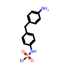 CCS(=O)(=O)Nc1ccc(Cc2ccc(N)cc2)cc1